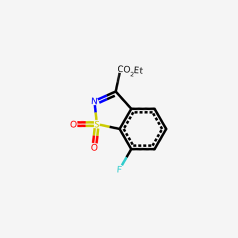 CCOC(=O)C1=NS(=O)(=O)c2c(F)cccc21